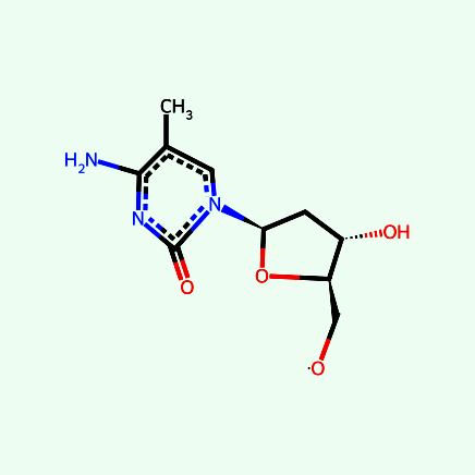 Cc1cn([C@H]2C[C@H](O)[C@@H](C[O])O2)c(=O)nc1N